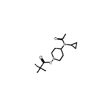 CC(=O)N(C1CC1)C1CCN(OC(=O)C(C)(C)C)CC1